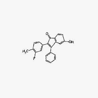 Cc1ccc(C2=C(c3ccccc3)c3cc(O)ccc3C2=O)cc1F